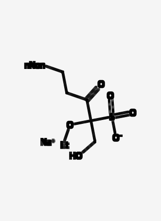 CCCCCCCCCCCC(=O)C(CO)(OCC)S(=O)(=O)[O-].[Na+]